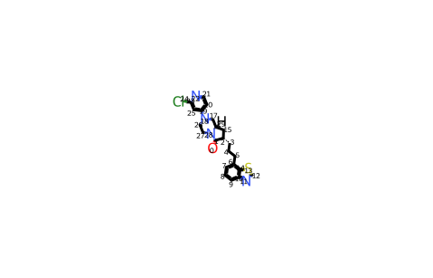 O=C1[C@@H](CCCc2cccc3ncsc23)C[C@H]2CN(c3ccnc(Cl)c3)CCN12